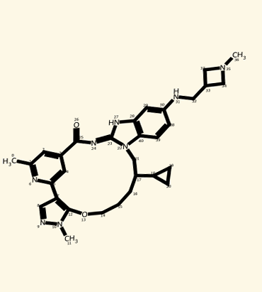 Cc1cc2cc(n1)-c1cnn(C)c1OCCCC(C1CC1)CN1/C(=N/C2=O)Nc2cc(NCC3CN(C)C3)ccc21